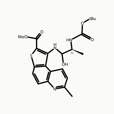 COC(=O)c1sc2ccc3nc(C)ccc3c2c1NC(O)[C@H](C)NC(=O)OC(C)(C)C